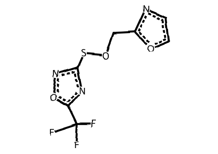 FC(F)(F)c1nc(SOCc2ncco2)no1